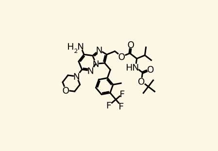 Cc1c(Cc2c(COC(=O)C(NC(=O)OC(C)(C)C)C(C)C)nc3c(N)cc(N4CCOCC4)nn23)cccc1C(F)(F)F